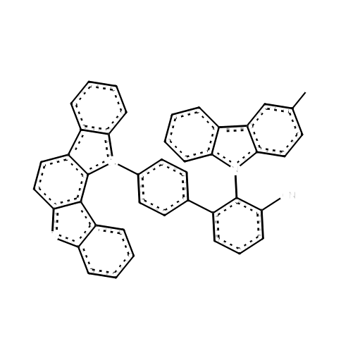 Cc1ccc2c(c1)c1ccccc1n2-c1c(C#N)cccc1-c1ccc(-n2c3ccccc3c3ccc4oc5ccccc5c4c32)cc1